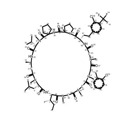 CC[C@H](C)[C@@H]1NC(=O)[C@H](CC(C)C)N(C)C(=O)C[C@@H](C)NC(=O)[C@H](C(C)C)N(C)C(=O)C2(CCCC2)NC(=O)[C@@H]2CCCN2C(=O)[C@H](CCc2ccc(C(F)(F)F)c(Cl)c2)NC(=O)CN(C)C(=O)[C@H](Cc2ccccc2Cl)N(C)C(=O)CN(C)C(=O)CN(C)C1=O